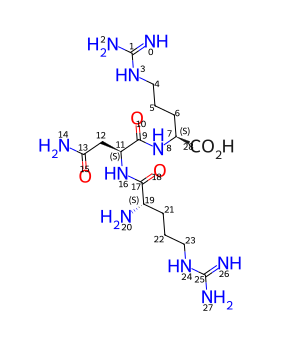 N=C(N)NCCC[C@H](NC(=O)[C@H](CC(N)=O)NC(=O)[C@@H](N)CCCNC(=N)N)C(=O)O